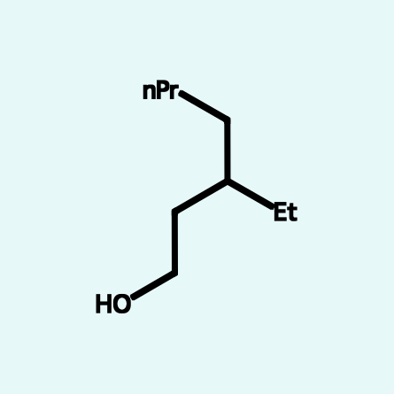 CCCCC(CC)CCO